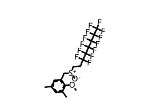 COc1c(C)cc(C)cc1C[S+]([O-])CCC(F)(F)C(F)(F)C(F)(F)C(F)(F)C(F)(F)C(F)(F)F